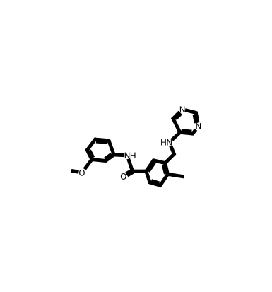 COc1cccc(NC(=O)c2ccc(C)c(CNc3cncnc3)c2)c1